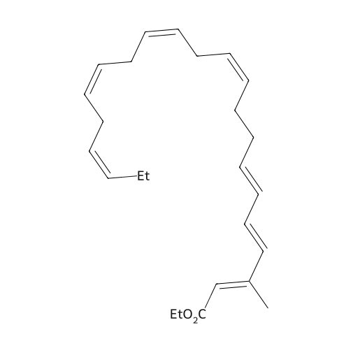 CC/C=C\C/C=C\C/C=C\C/C=C\CC/C=C/C=C/C(C)=CC(=O)OCC